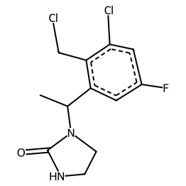 CC(c1cc(F)cc(Cl)c1CCl)N1CCNC1=O